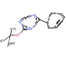 CCCCCC(C)(C)Oc1ncnc(-c2ccccc2)n1